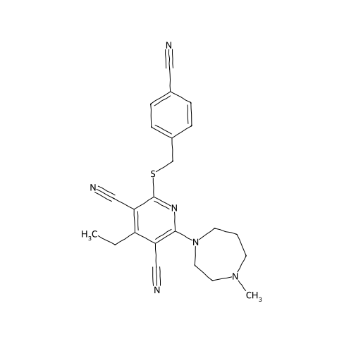 CCc1c(C#N)c(SCc2ccc(C#N)cc2)nc(N2CCCN(C)CC2)c1C#N